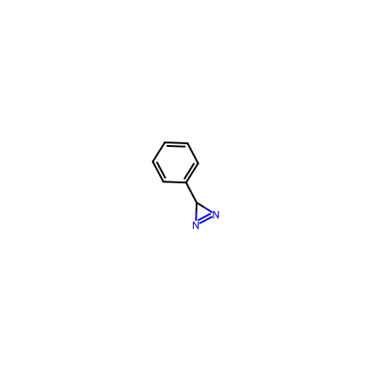 c1ccc(C2N=N2)cc1